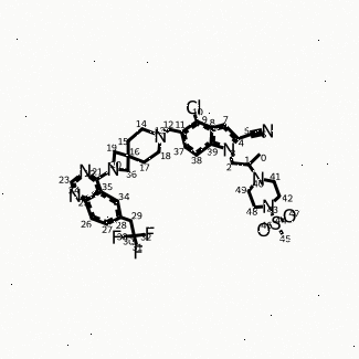 CC(Cn1c(C#N)cc2c(Cl)c(CN3CCC4(CC3)CN(c3ncnc5ccc(CC(F)(F)F)cc35)C4)ccc21)N1CCN(S(C)(=O)=O)CC1